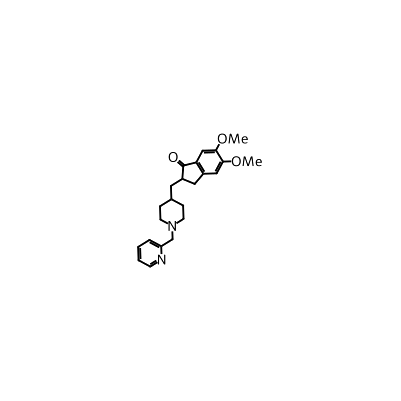 COc1cc2c(cc1OC)C(=O)C(CC1CCN(Cc3ccccn3)CC1)C2